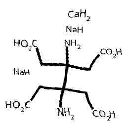 NC(CC(=O)O)(CC(=O)O)C(N)(CC(=O)O)CC(=O)O.[CaH2].[NaH].[NaH]